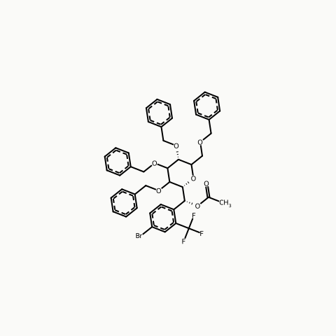 CC(=O)O[C@H](c1ccc(Br)cc1C(F)(F)F)[C@H]1OC(COCc2ccccc2)[C@@H](OCc2ccccc2)C(OCc2ccccc2)C1OCc1ccccc1